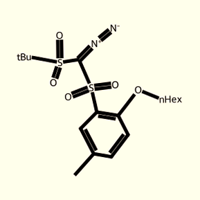 CCCCCCOc1ccc(C)cc1S(=O)(=O)C(=[N+]=[N-])S(=O)(=O)C(C)(C)C